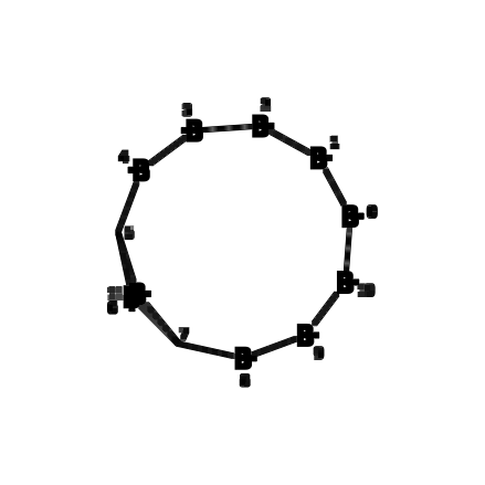 [B]1[B][B][B][B]C2[B]C([B][B][B]1)[B]2